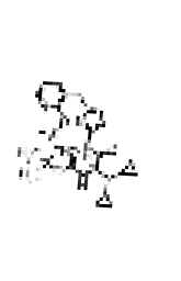 COc1ncccc1Cn1ccc(NC(=O)[C@@H](NC(=O)OC(C)(C)C)C(C2CC2)C2CC2)n1